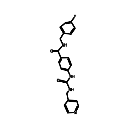 O=C(NCc1ccncc1)Nc1ccc(C(=O)NCc2ccc(F)cc2)cc1